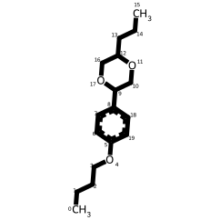 CCCCOc1ccc(C2COC(CCC)CO2)cc1